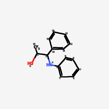 OC(C(Nc1ccccc1)c1ccccc1)C(F)(F)F